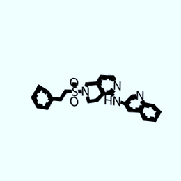 O=S(=O)(CCc1ccccc1)N1CCc2c(ccnc2Nc2cnc3ccccc3c2)C1